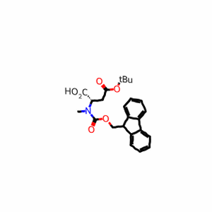 CN(C(=O)OCC1c2ccccc2-c2ccccc21)[C@@H](CC(=O)OC(C)(C)C)C(=O)O